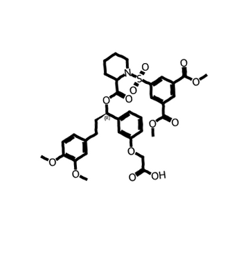 COC(=O)c1cc(C(=O)OC)cc(S(=O)(=O)N2CCCCC2C(=O)O[C@H](CCc2ccc(OC)c(OC)c2)c2cccc(OCC(=O)O)c2)c1